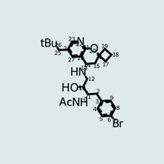 CC(=O)N[C@@H](Cc1ccc(Br)cc1)[C@@H](O)CN[C@H]1CC2(CCC2)Oc2ncc(CC(C)(C)C)cc21